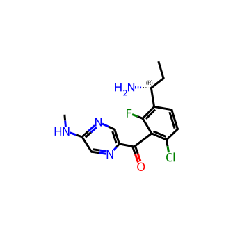 CC[C@@H](N)c1ccc(Cl)c(C(=O)c2cnc(NC)cn2)c1F